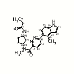 CCC(=O)N[C@H]1CC[C@@H](N(C)C(=O)c2ccc(-c3ccc4[nH]ccc4c3C)nn2)C1